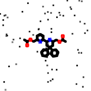 CC(=O)OCC1=CC(c2ccccc2)(c2ccccc2)CC(c2cccc(COC(C)=O)n2)=N1